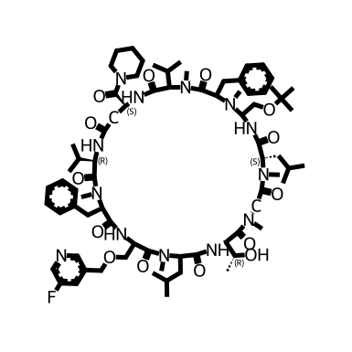 CC(C)CC1C(=O)NC([C@@H](C)O)C(=O)N(C)CC(=O)N(C)[C@@H](CC(C)C)C(=O)NC(COC(C)(C)C)N(C)C(Cc2ccccc2)C(=O)N(C)C(C(C)C)C(=O)N[C@H](C(=O)N2CCCCC2)CC(=O)N[C@H](C(C)C)C(=O)N(C)C(Cc2ccccc2)C(=O)NC(COCc2cncc(F)c2)C(=O)N1C